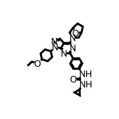 CCOC1CCC(n2ncc3c(N4CC5CCC(C4)O5)nc(-c4ccc(NC(=O)NC5CC5)cc4)nc32)CC1